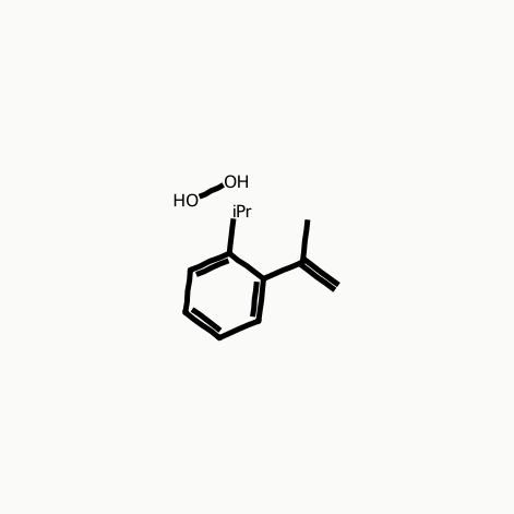 C=C(C)c1ccccc1C(C)C.OO